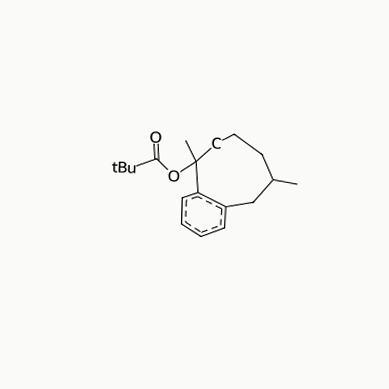 CC1CCCC(C)(OC(=O)C(C)(C)C)c2ccccc2C1